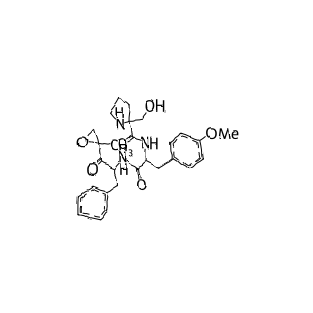 COc1ccc(CC(NC(=O)C2(CO)CCCN2)C(=O)NC(Cc2ccccc2)C(=O)C2(C)CO2)cc1